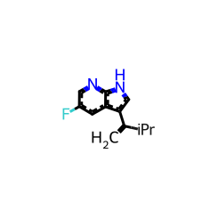 C=C(c1c[nH]c2ncc(F)cc12)C(C)C